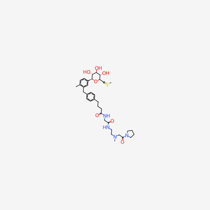 CS#CC1O[C@@H](c2ccc(C)c(Cc3ccc(CCCC(=O)NCC(=O)NCCN(C)CC(=O)N4CCCC4)cc3)c2)[C@H](O)[C@@H](O)[C@@H]1O